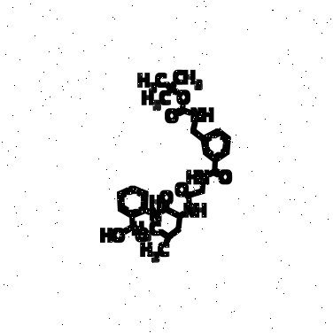 CC(C)CC(NC(=O)CNC(=O)c1cccc(CNC(=O)OC(C)(C)C)c1)C(=O)Nc1ccccc1C(=O)O